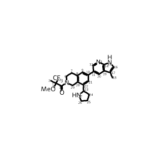 COC(C)(C(=O)N1CCc2cc(-c3cnc4[nH]cc(C)c4c3)cc(C3CCCN3)c2C1)C(F)(F)F